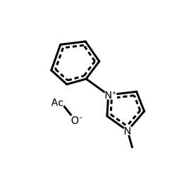 CC(=O)[O-].Cn1cc[n+](-c2ccccc2)c1